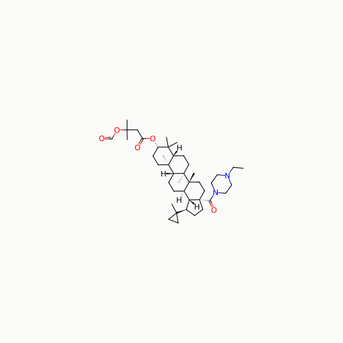 CCN1CCN(C(=O)[C@]23CC[C@@H](C4(C)CC4)[C@@H]2[C@H]2CC[C@@H]4[C@@]5(C)CC[C@H](OC(=O)CC(C)(C)OC=O)C(C)(C)[C@@H]5CC[C@@]4(C)[C@]2(C)CC3)CC1